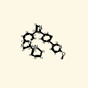 COc1ccc(-c2ccc(C3=NC=C3c3ccc4ncc(C5=CC=CCN5)n4c3)cc2)cn1